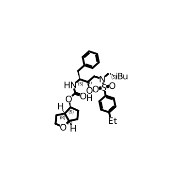 CCc1ccc(S(=O)(=O)N(C[C@@H](C)CC)C[C@@H](O)[C@H](Cc2ccccc2)NC(=O)O[C@H]2CC[C@H]3OCC[C@@H]23)cc1